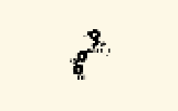 O=C(c1ccc(O)cc1)c1ccc(CCN(C[C@H](O)c2cccc(Cl)c2)C(=O)O)cc1